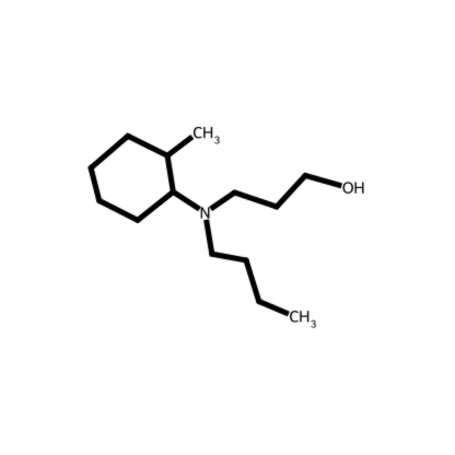 CCCCN(CCCO)C1CCCCC1C